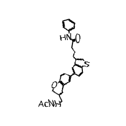 CC(=O)NCC1COc2ccc(-c3ccc4scc(CCCC(=O)Nc5ccccc5)c4c3)cc2C1